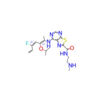 C=C/C(F)=C\C(OC(C)C)=C(/C)Nc1ncnc2sc(C(=O)NCCNC)nc12